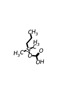 CCC[Si](C)(C)OC(=O)O